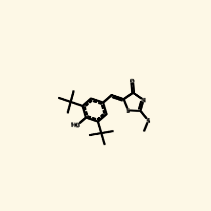 CSC1=NC(=O)C(=Cc2cc(C(C)(C)C)c(O)c(C(C)(C)C)c2)S1